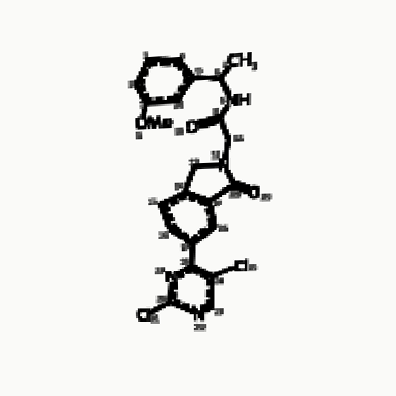 COc1cccc(C(C)NC(=O)CN2Cc3ccc(-c4nc(Cl)ncc4Cl)cc3C2=O)c1